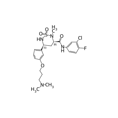 CN(C)CCCOc1cccc([C@@H]2C[C@H](C(=O)Nc3ccc(F)c(Cl)c3)N(C)S(=O)(=O)N2)c1